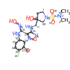 CN(C)S(=O)(=O)N1CCC(O)(CNc2nonc2/C(=N/O)Nc2ccc(F)c(Br)c2)C1